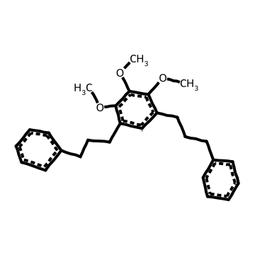 COc1c(CCCc2ccccc2)[c]c(CCCc2ccccc2)c(OC)c1OC